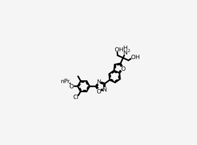 CCCOc1c(C)cc(-c2nc(-c3ccc4oc(C(N)(CO)CO)cc4c3)no2)cc1Cl